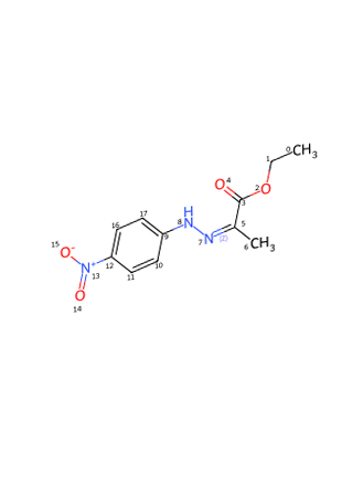 CCOC(=O)/C(C)=N\Nc1ccc([N+](=O)[O-])cc1